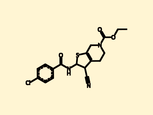 CCOC(=O)N1CCC2=C(C1)SC(NC(=O)c1ccc(Cl)cc1)C2C#N